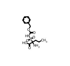 CCCC(N)(C(=O)O)S(=O)(=O)NC(=O)OCc1ccccc1